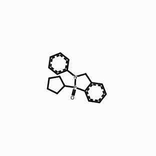 O=P1(C2CCCC2)c2ccccc2CN1c1ccccc1